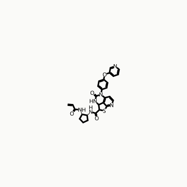 C=CC(=O)N[C@H]1CCC[C@H]1NC(=O)C1Sc2nccc3c2C1NC(=O)N3c1ccc(Oc2cccnc2)cc1